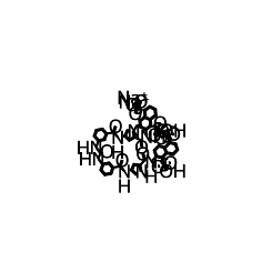 Cn1cc(NC(=O)c2cccc(NC(=O)Nc3cccc(C(=O)Nc4cc(C(=O)Nc5ccc6c(S(=O)(=O)O)cccc6c5S(=O)(=O)O)n(C)c4)c3)c2)cc1C(=O)Nc1ccc2c(S(=O)(=O)[O-])cccc2c1S(=O)(=O)[O-].[Na+].[Na+]